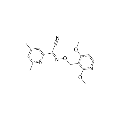 COc1ccnc(OC)c1CON=C(C#N)c1cc(C)cc(C)n1